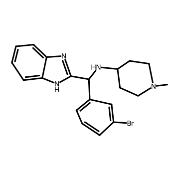 CN1CCC(NC(c2cccc(Br)c2)c2nc3ccccc3[nH]2)CC1